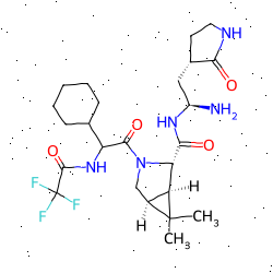 CC1(C)[C@@H]2[C@@H](C(=O)N[C@H](N)C[C@@H]3CCNC3=O)N(C(=O)C(NC(=O)C(F)(F)F)C3CCCCC3)C[C@@H]21